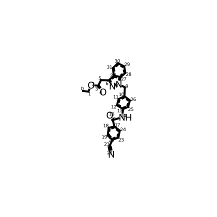 CCOC(=O)Cc1nn(Cc2ccc(NC(=O)c3ccc(C#N)cc3)cc2)c2ccccc12